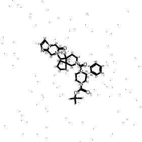 CC(C)(C)OC(=O)N1CCN(C(=O)N2CCC(O)(CN3Cc4nccn4CC3=O)C3(CCCC3)C2)[C@H](c2ccccc2)C1